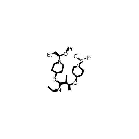 C=C(OC1CCN([S+]([O-])C(C)C)CC1)/C(C)=C(\N=C/C)OC1CCN(/C(=C\CC)OC(C)C)CC1